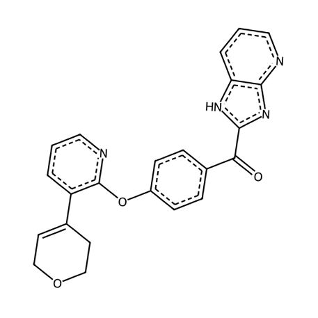 O=C(c1ccc(Oc2ncccc2C2=CCOCC2)cc1)c1nc2ncccc2[nH]1